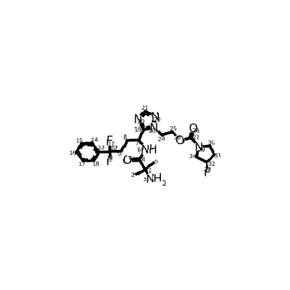 CC(C)(N)C(=O)NC(CCC(F)(F)c1ccccc1)c1ncnn1CCOC(=O)N1CC[C@@H](F)C1